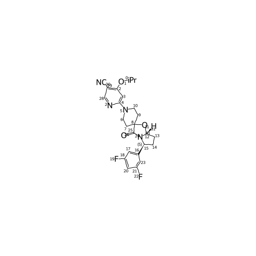 CC(C)Oc1cc(N2CCC3(CC2)O[C@@H]2CC[C@@H](c4cc(F)cc(F)c4)N2C3=O)ncc1C#N